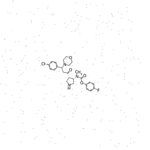 CN(C(=O)Oc1ccc(F)cc1)[C@@H]1CNC[C@@H]1C(=O)CC(c1ccc(Cl)cc1)N1CCOCC1